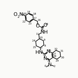 CN(C)c1nc(NC2CCC(CNC(=O)OCc3ccc([N+](=O)[O-])cc3)CC2)nc2c1CCCC2